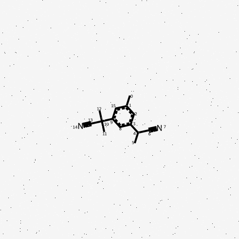 Cc1cc(C(C)C#N)cc(C(C)(C)C#N)c1